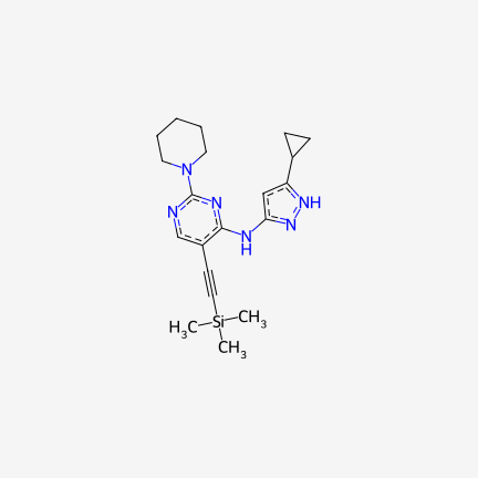 C[Si](C)(C)C#Cc1cnc(N2CCCCC2)nc1Nc1cc(C2CC2)[nH]n1